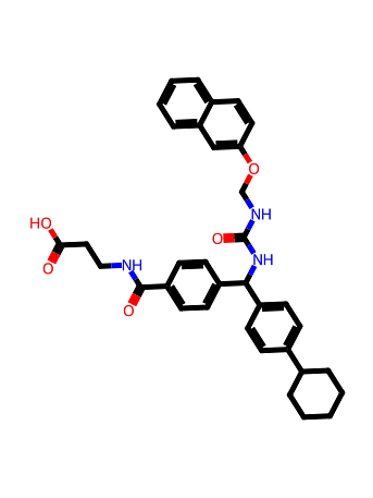 O=C(O)CCNC(=O)c1ccc(C(NC(=O)NCOc2ccc3ccccc3c2)c2ccc(C3CCCCC3)cc2)cc1